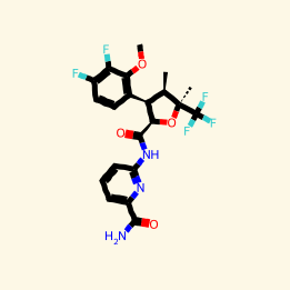 COc1c([C@H]2[C@@H](C)[C@@](C)(C(F)(F)F)O[C@H]2C(=O)Nc2cccc(C(N)=O)n2)ccc(F)c1F